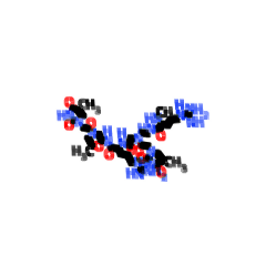 CNC(CCCNC(=N)N)C(=O)NCCN(CC(=O)NC(CCCNC(=N)N)C(=O)NCCN(CC(C)=O)C(=O)Cn1cc(C)c(=O)[nH]c1=O)C(=O)Cn1cc(C)c(=O)[nH]c1=O